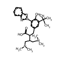 CN(C)CC(CN(C)C)C(Cc1cc(-n2nc3ccccc3n2)c(O)c(C(C)(C)C)c1)C(=O)O